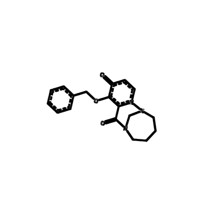 O=C1c2c(OCc3ccccc3)c(=O)ccn2N2CCCCN1C2